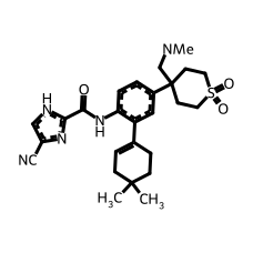 CNCC1(c2ccc(NC(=O)c3nc(C#N)c[nH]3)c(C3=CCC(C)(C)CC3)c2)CCS(=O)(=O)CC1